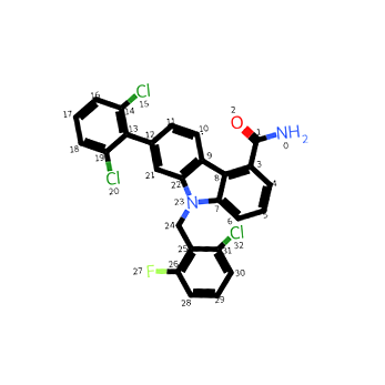 NC(=O)c1cccc2c1c1[c]cc(-c3c(Cl)cccc3Cl)cc1n2Cc1c(F)cccc1Cl